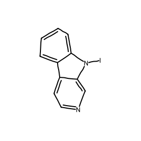 In1c2ccccc2c2ccncc21